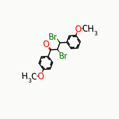 COc1ccc(C(=O)C(Br)C(Br)c2cccc(OC)c2)cc1